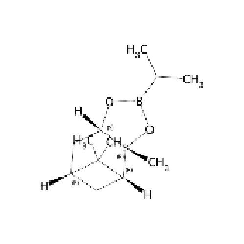 CC(C)B1O[C@H]2C[C@H]3C[C@H](C3(C)C)[C@@]2(C)O1